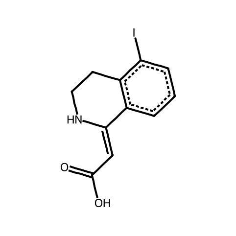 O=C(O)/C=C1\NCCc2c(I)cccc21